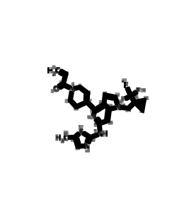 C=CC(=O)N1CC=C(c2nc(Nc3ncc(C)s3)cc3c2ccn3CC2(C(F)(F)F)CC2)CC1